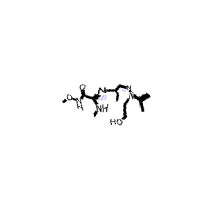 C=C(C)N(CCO)/N=C\C(C)/N=C(\NC)C(=O)NOC